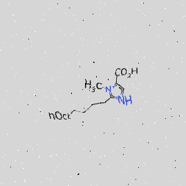 CCCCCCCCCCCCc1[nH]cc(C(=O)O)[n+]1C